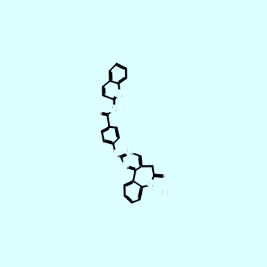 CN1C(=O)Cc2cnc(Nc3ccc(C(=O)Nc4ccc5ccccc5n4)cc3)nc2-c2ccccc21